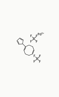 C1=CC(C2=CCCC=CCC2)C=C1.F[B-](F)(F)F.F[B-](F)(F)F.[Pd+2]